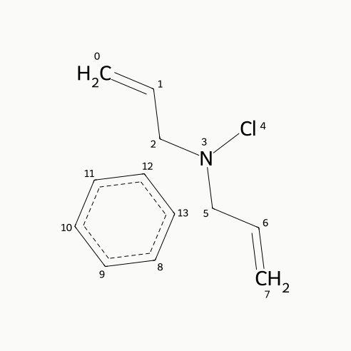 C=CCN(Cl)CC=C.c1ccccc1